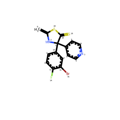 C=C1NC(c2ccncc2)(c2ccc(F)c(Br)c2)C(=S)S1